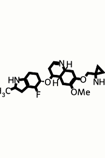 COC1=C(OCC2(N)CC2)C[C@@H]2N=CCC(O[C@H]3CCC4=C(CC(C)N4)C3F)[C@@H]2C1